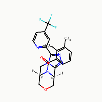 Cc1cccc(C(=O)N2[C@H]3COC[C@@H]2c2nnc(-c4cc(C(F)(F)F)ccn4)n2C3)c1C